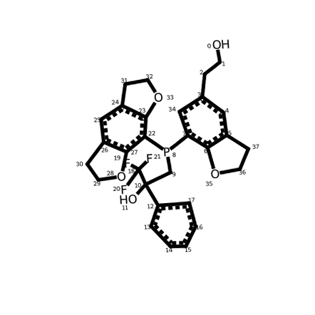 OCCc1cc2c(c(P(CC(O)(c3ccccc3)C(F)(F)F)c3c4c(cc5c3OCC5)CCO4)c1)OCC2